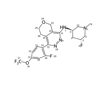 CN1C[C@H](F)C[C@@H](Nc2nnc(-c3ccc(OC(F)(F)F)cc3F)c3c2COCC3)C1